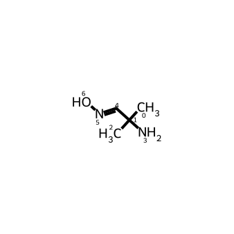 CC(C)(N)C=NO